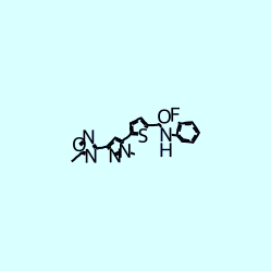 Cc1nc(-c2cc(-c3ccc(C(=O)Nc4ccccc4F)s3)n(C)n2)no1